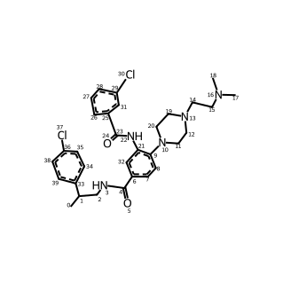 CC(CNC(=O)c1ccc(N2CCN(CCN(C)C)CC2)c(NC(=O)c2cccc(Cl)c2)c1)c1ccc(Cl)cc1